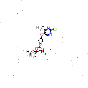 Cc1nc(Cl)ncc1OC1CN(C(=O)OC(C)(C)C)C1